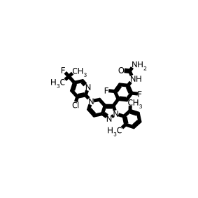 Cc1cccc(C)c1-n1nc2c(c1-c1cc(F)c(NC(N)=O)cc1F)CN(c1ncc(C(C)(C)F)cc1Cl)C=C2